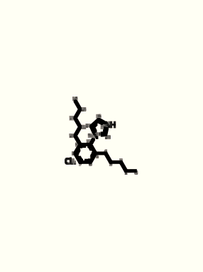 CCCCCc1cccc(CCCCC)c1-[n+]1cc[nH]c1.[Cl-]